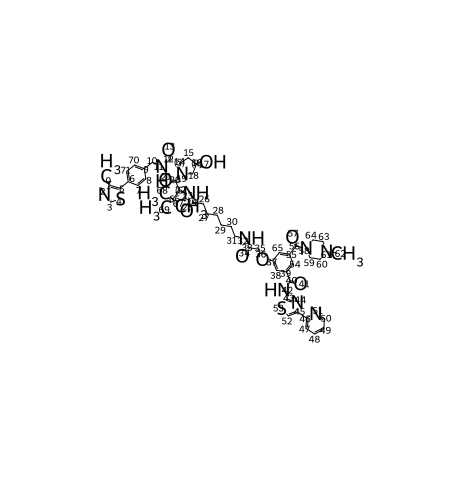 Cc1ncsc1-c1ccc(CNC(=O)[C@@H]2C[C@@H](O)CN2C(=O)[C@@H](NC(=O)CCCCCCNC(=O)COc2cc(C(=O)Nc3nc(-c4ccccn4)cs3)cc(C(=O)N3CCN(C)CC3)c2)C(C)(C)C)cc1